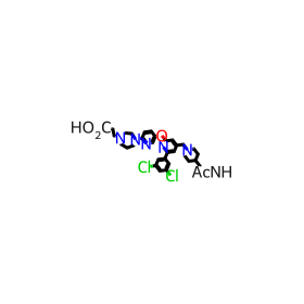 CC(=O)NCC1CCN(Cc2cc(Oc3ccc(N4CCCN(CCC(=O)O)CC4)nc3)nc(-c3cc(Cl)cc(Cl)c3)c2)CC1